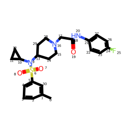 Cc1cccc(S(=O)(=O)N(C2CC2)C2CCN(CC(=O)Nc3ccc(F)cc3)CC2)c1